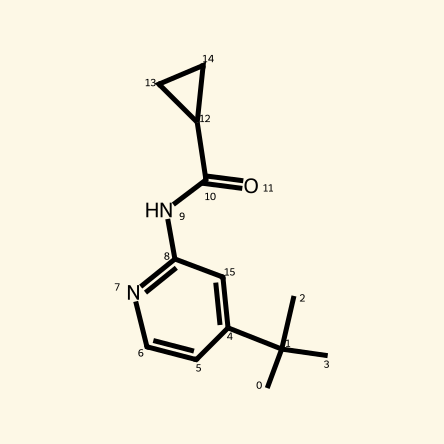 CC(C)(C)c1ccnc(NC(=O)C2CC2)c1